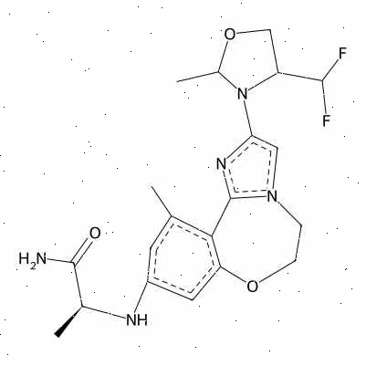 Cc1cc(N[C@@H](C)C(N)=O)cc2c1-c1nc(N3C(C)OCC3C(F)F)cn1CCO2